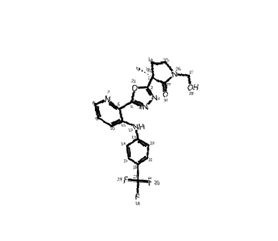 C[C@]1(c2nnc(-c3ncccc3Nc3ccc(C(F)(F)F)cc3)o2)CCN(CO)C1=O